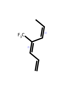 C=C/C=C(\C=C/C)C(F)(F)F